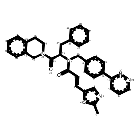 Cc1ncc(C=CC(=O)N(Cc2ccc(-c3cccnn3)cc2)C(Cc2ccccc2)C(=O)N2CCc3ccccc3C2)s1